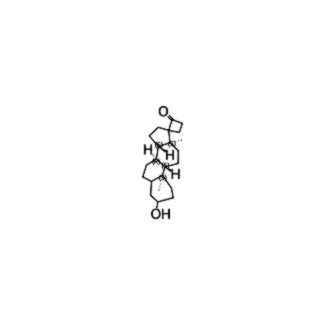 C[C@]12CCC(O)CC1CC[C@@H]1[C@@H]2CC[C@@]2(C)[C@H]1CCC21CCC1=O